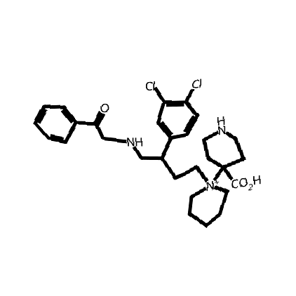 O=C(CNCC(CC[N+]1(C2(C(=O)O)CCNCC2)CCCCC1)c1ccc(Cl)c(Cl)c1)c1ccccc1